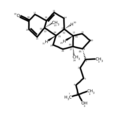 CC(CCCC(C)(C)O)[C@H]1CC[C@H]2[C@@H]3CC=C4CC(=O)C=C[C@]4(C)[C@H]3CC[C@]12C